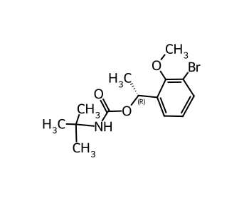 COc1c(Br)cccc1[C@@H](C)OC(=O)NC(C)(C)C